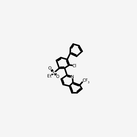 CCS(=O)(=O)c1ccc(-c2ccccc2)c(Cl)c1-c1ccc2cccc(C(F)(F)F)c2n1